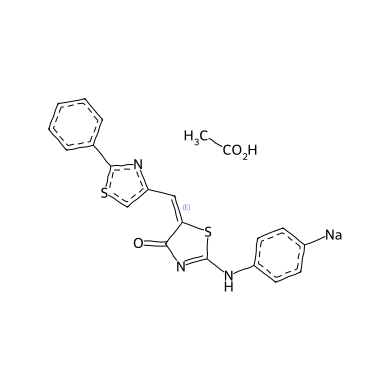 CC(=O)O.O=C1N=C(Nc2cc[c]([Na])cc2)S/C1=C/c1csc(-c2ccccc2)n1